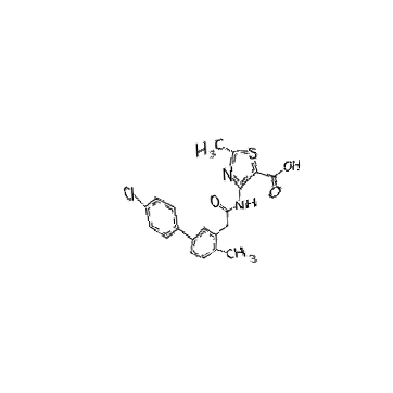 Cc1nc(NC(=O)Cc2cc(-c3ccc(Cl)cc3)ccc2C)c(C(=O)O)s1